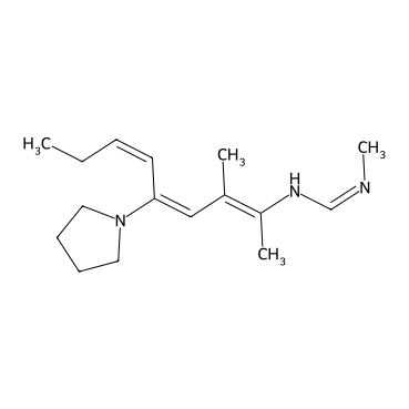 CC\C=C/C(=C\C(C)=C(/C)N/C=N\C)N1CCCC1